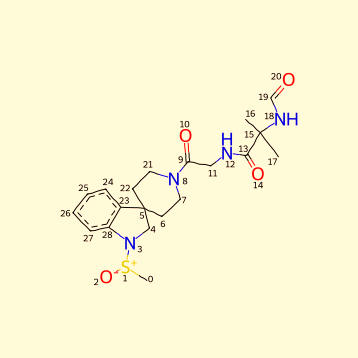 C[S+]([O-])N1CC2(CCN(C(=O)CNC(=O)C(C)(C)NC=O)CC2)c2ccccc21